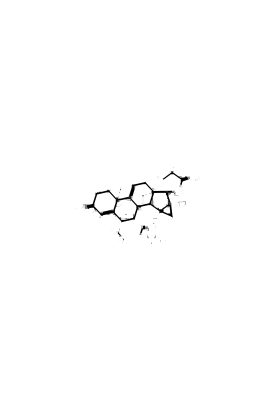 COC(=O)[C@H]1C2C(=CC[C@@]3(C)C2[C@@H]2C[C@@H]2[C@@]32CCC(=O)O2)[C@@]2(C)CCC(=O)C=C2[C@@H]1CO